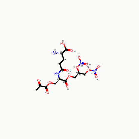 CC(=O)C(=O)OC[C@H](NC(=O)CC[C@H](N)C(=O)O)C(=O)OC[C@H](CO[N+](=O)[O-])O[N+](=O)[O-]